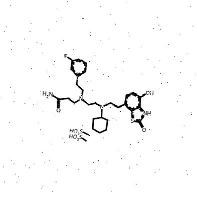 CS(=O)(=O)O.CS(=O)(=O)O.NC(=O)CCN(CCc1cccc(F)c1)CCN(CCc1ccc(O)c2[nH]c(=O)sc12)C1CCCCC1